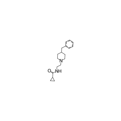 O=C(NCCN1CCC(Cc2ccccc2)CC1)C1CC1